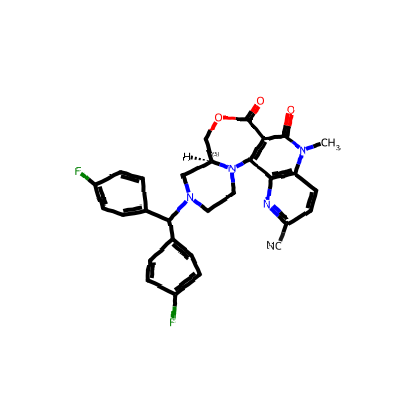 Cn1c(=O)c2c(c3nc(C#N)ccc31)N1CCN(C(c3ccc(F)cc3)c3ccc(F)cc3)C[C@H]1COC2=O